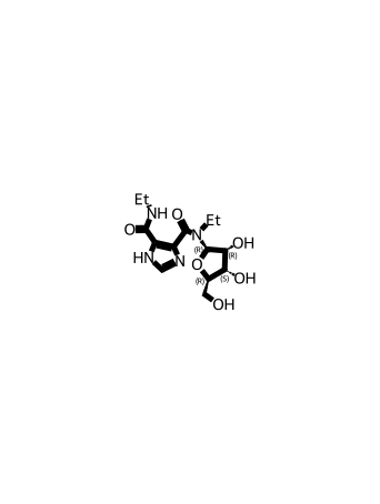 CCNC(=O)c1[nH]cnc1C(=O)N(CC)[C@@H]1O[C@H](CO)[C@@H](O)[C@H]1O